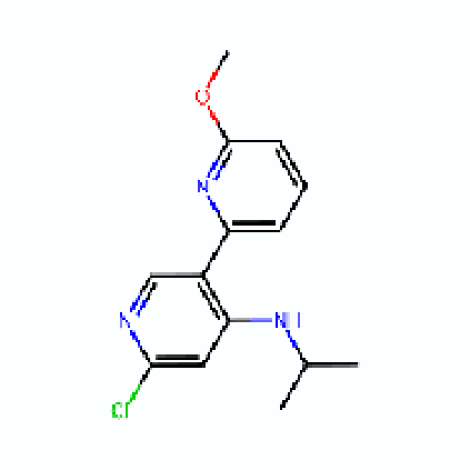 COc1cccc(-c2cnc(Cl)cc2NC(C)C)n1